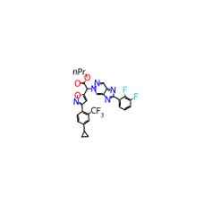 CCCOC(=O)C(c1cc(-c2ccc(C3CC3)cc2C(F)(F)F)no1)n1cc2nc(-c3cccc(F)c3F)nc-2cn1